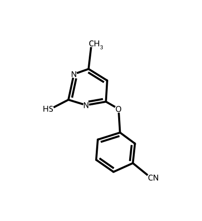 Cc1cc(Oc2cccc(C#N)c2)nc(S)n1